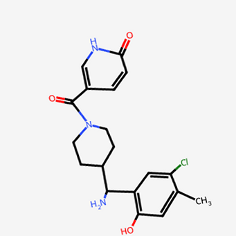 Cc1cc(O)c(C(N)C2CCN(C(=O)c3ccc(=O)[nH]c3)CC2)cc1Cl